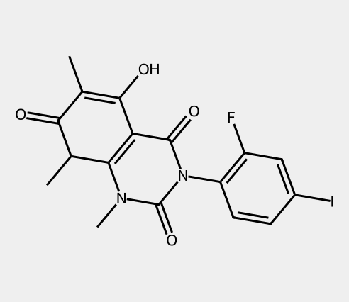 CC1=C(O)c2c(n(C)c(=O)n(-c3ccc(I)cc3F)c2=O)C(C)C1=O